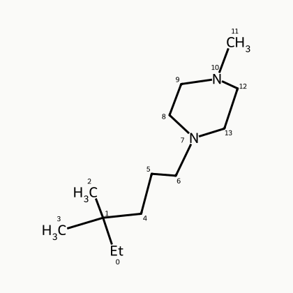 CCC(C)(C)CCCN1CCN(C)CC1